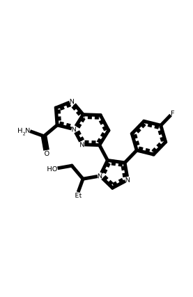 CCC(CO)n1cnc(-c2ccc(F)cc2)c1-c1ccc2ncc(C(N)=O)n2n1